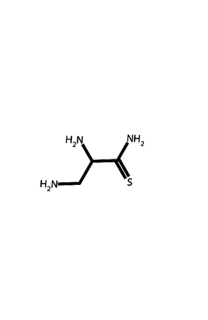 NCC(N)C(N)=S